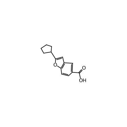 O=C(O)c1ccc2oc(C3CCCC3)cc2c1